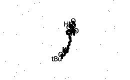 Cn1c(=O)n(C2CCC(=O)NC2=O)c2cccc(C#CCCCCCn3cc(CC(=O)CC(C)(C)C)cn3)c21